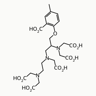 Cc1ccc(OCC(CN(CCN(CC(=O)O)CC(=O)O)CC(=O)O)N(CC(=O)O)CC(=O)O)c(C(=O)O)c1